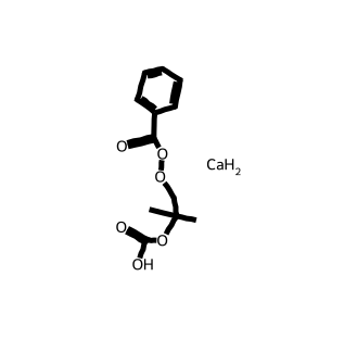 CC(C)(COOC(=O)c1ccccc1)OC(=O)O.[CaH2]